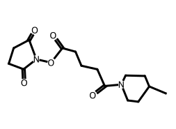 CC1CCN(C(=O)CCCC(=O)ON2C(=O)CCC2=O)CC1